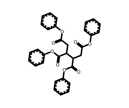 O=C(CC(C(=O)Oc1ccccc1)C(CC(=O)Oc1ccccc1)C(=O)Oc1ccccc1)Oc1ccccc1